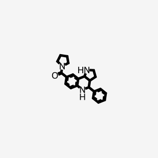 O=C(c1ccc2c(c1)C1NCCC1C(c1ccccc1)N2)N1CCCC1